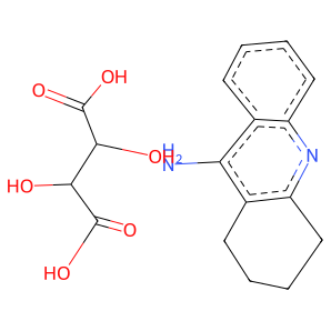 Nc1c2c(nc3ccccc13)CCCC2.O=C(O)C(O)C(O)C(=O)O